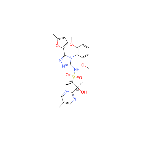 COc1cccc(OC)c1-n1c(NS(=O)(=O)[C@H](C)[C@@](C)(O)c2ncc(C)cn2)nnc1-c1ccc(C)o1